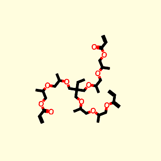 C=CC(=C)OCC(C)OCC(C)OCC(CC)(COC(C)COC(C)COC(=O)C=C)COC(C)COC(C)COC(=O)C=C